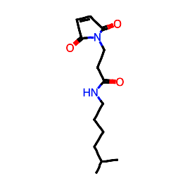 CC(C)CCCCNC(=O)CCN1C(=O)C=CC1=O